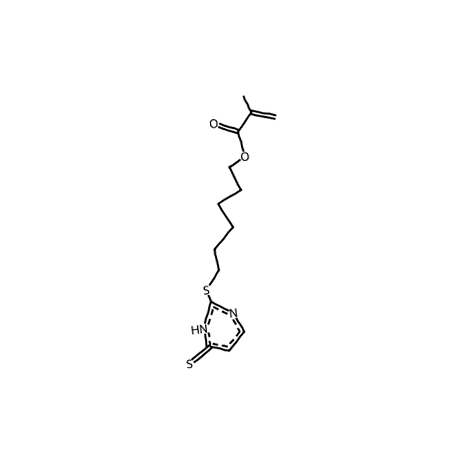 C=C(C)C(=O)OCCCCCCSc1nccc(=S)[nH]1